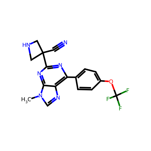 Cn1cnc2c(-c3ccc(OC(F)(F)F)cc3)nc(C3(C#N)CNC3)nc21